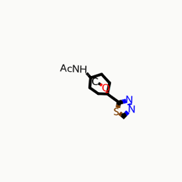 CC(=O)NC12CCC(c3nncs3)(CC1)OC2